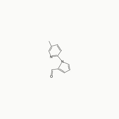 Cc1ccc(-n2cccc2C=O)nc1